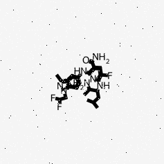 Cc1nn(CC(F)F)c2ccc(Nc3nc(NC(CC(C)C)C(C)N)c(F)cc3C(N)=O)cc12